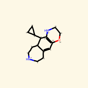 C1=C2CCNCCC2C(C2CC2)C2=C1OCCN2